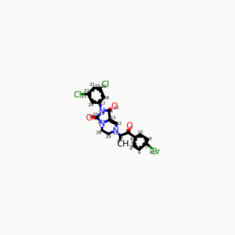 CC(C(=O)c1ccc(Br)cc1)N1C=C2C(=O)N(c3cc(Cl)cc(Cl)c3)C(=O)N2CC1